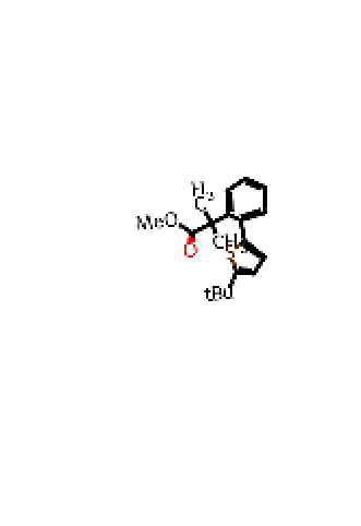 COC(=O)C(C)(C)c1ccccc1-c1ccc(C(C)(C)C)s1